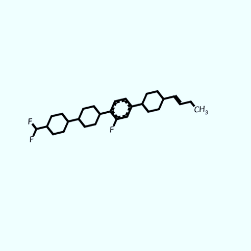 CC/C=C/C1CCC(c2ccc(C3CCC(C4CCC(C(F)F)CC4)CC3)c(F)c2)CC1